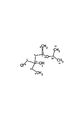 C=C(CC(O)(CC)CCl)OC(C)C